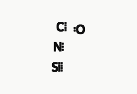 [C].[N].[O].[Si]